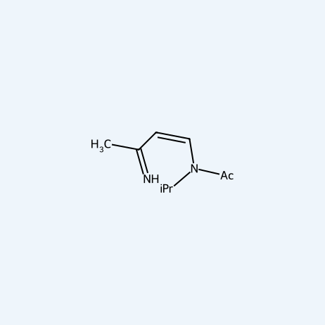 CC(=N)/C=C\N(C(C)=O)C(C)C